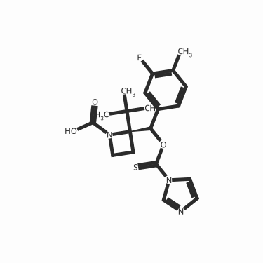 Cc1ccc(C(OC(=S)n2ccnc2)[C@@]2(C(C)(C)C)CCN2C(=O)O)cc1F